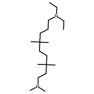 CCN(CC)CCCC(C)(C)CCC(C)(C)CCN(C)C